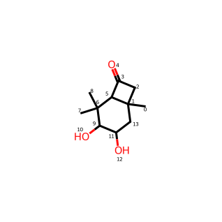 CC12CC(=O)C1C(C)(C)C(O)C(O)C2